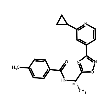 Cc1ccc(C(=O)N[C@@H](C)c2nc(-c3ccnc(C4CC4)c3)no2)cc1